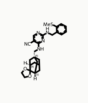 CSc1ccccc1CNc1ncc(C#N)c(NC[C@@]23CC4C[C@H](C2)C2(OCCO2)[C@@H](C4)C3)n1